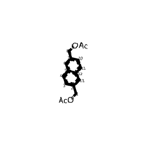 CC(=O)OCc1ccc2cc(COC(C)=O)ccc2c1